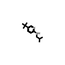 CC(C)CNc1ccc(C(C)(C)C)cn1